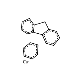 [Cu].c1ccc2c(c1)Cc1ccccc1-2.c1ccccc1